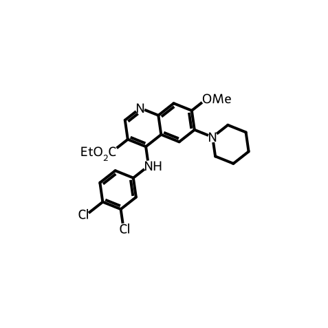 CCOC(=O)c1cnc2cc(OC)c(N3CCCCC3)cc2c1Nc1ccc(Cl)c(Cl)c1